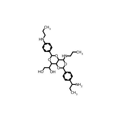 CCCNc1ccc(C2OC(C(O)CO)C3OC(c4ccc(C(N)CC)cc4)OC(NCCC)C3O2)cc1